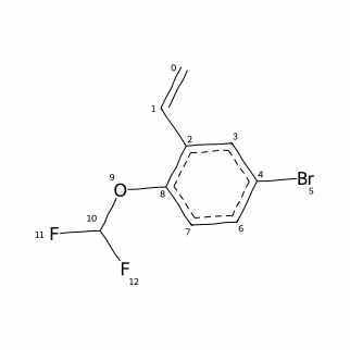 C=Cc1cc(Br)ccc1OC(F)F